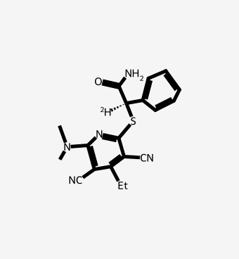 [2H][C@](Sc1nc(N(C)C)c(C#N)c(CC)c1C#N)(C(N)=O)c1ccccc1